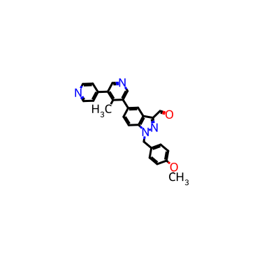 COc1ccc(Cn2nc(C=O)c3cc(-c4cncc(-c5ccncc5)c4C)ccc32)cc1